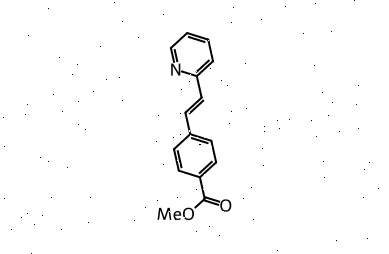 COC(=O)c1ccc(C=Cc2ccccn2)cc1